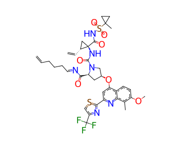 C=CCCC/C=N/C(=O)[C@@H]1C[C@H](Oc2cc(-c3nc(C(F)(F)F)cs3)nc3c(C)c(OC)ccc23)CN1C(=O)N[C@]1(C(=O)NS(=O)(=O)C2(C)CC2)C[C@H]1C=C